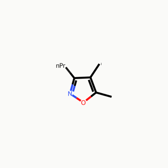 [CH]c1c(CCC)noc1C